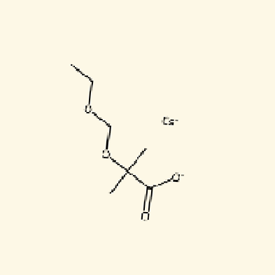 CCOCOC(C)(C)C(=O)[O-].[Cs+]